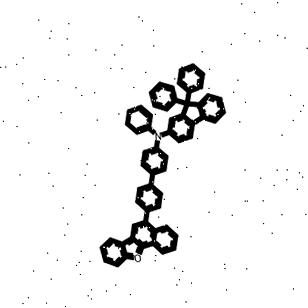 C1=CC(N(c2ccc(-c3ccc(-c4cc5c6ccccc6oc5c5ccccc45)cc3)cc2)c2ccc3c(c2)C(c2ccccc2)(c2ccccc2)c2ccccc2-3)=CCC1